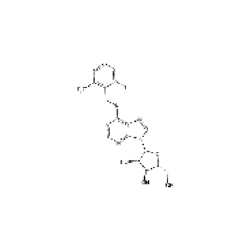 OC[C@H]1OC(n2cnc3c(NCc4c(F)cccc4C(F)(F)F)ncnc32)[C@H](O)[C@@H]1O